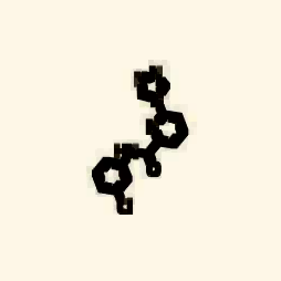 O=C(Nc1cccc(Cl)c1)c1cccc(-n2cnnc2)n1